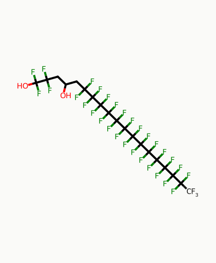 OC(CC(F)(F)C(O)(F)F)CC(F)(F)C(F)(F)C(F)(F)C(F)(F)C(F)(F)C(F)(F)C(F)(F)C(F)(F)C(F)(F)C(F)(F)C(F)(F)C(F)(F)C(F)(F)C(F)(F)F